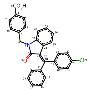 O=C(O)c1ccc(CN2C(=O)/C(=C(\c3ccccc3)c3ccc(Cl)cc3)c3ccccc32)cc1